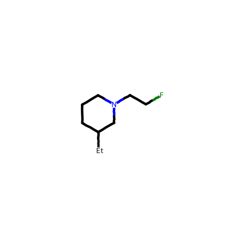 CCC1CCCN(CCF)C1